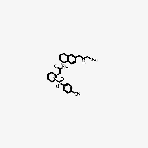 CC(C)(C)CNCc1ccc2c(c1)CCC[C@H]2NC(=O)C[C@@H]1CCCCN1S(=O)(=O)c1ccc(C#N)cc1